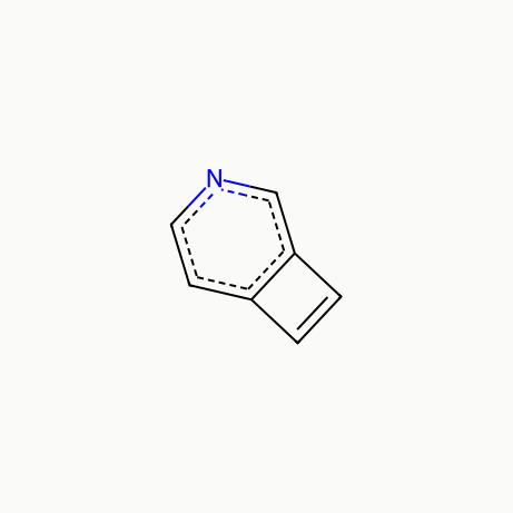 C1=Cc2cnccc21